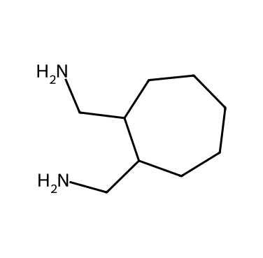 NCC1CCCCCC1CN